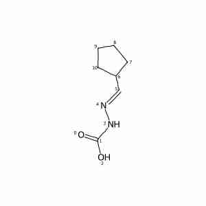 O=C(O)NN=CC1CCCC1